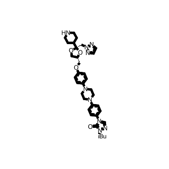 CCC(C)n1ncn(-c2ccc(N3CCN(c4ccc(OC[C@@H]5CO[C@@](Cn6nccn6)(C6CCNCC6)O5)cc4)CC3)cc2)c1=O